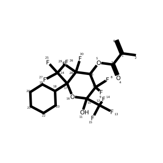 C=C(C)C(=O)OC1C(F)(F)C(O)(C(F)(F)F)OC(C2CCCCC2)(C(F)(F)F)C1(F)F